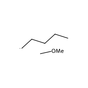 COC.[CH2]CCCC